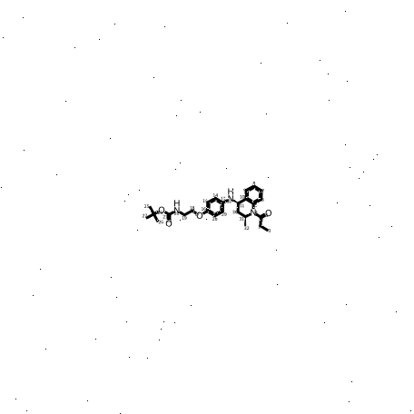 CCC(=O)N1c2ccccc2[C@H](Nc2ccc(OCCNC(=O)OC(C)(C)C)cc2)C[C@@H]1C